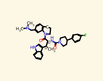 C[C@@H](c1c[nH]c2ccccc12)[C@@H](NC(=O)N1CCC(c2ccc(F)cc2)CC1)C(=O)N1CCCc2ccc(CN(C)C)cc21